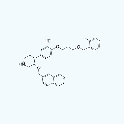 Cc1ccccc1COCCCOc1ccc(C2CCNCC2OCc2ccc3ccccc3c2)cc1.Cl